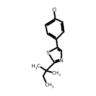 CCC(C)(C)c1ncc(-c2ccc(Cl)cc2)s1